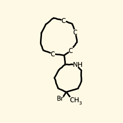 CC1(Br)CCCNC(C2CCCCCCCCCCC2)CCC1